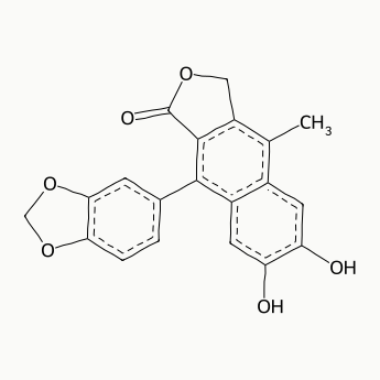 Cc1c2c(c(-c3ccc4c(c3)OCO4)c3cc(O)c(O)cc13)C(=O)OC2